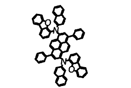 c1ccc(-c2cc(N(c3ccc4ccccc4c3)c3cccc4c3oc3ccccc34)c3ccc4c(-c5ccccc5)cc(N(c5ccc6ccccc6c5)c5cccc6c5oc5ccccc56)c5ccc2c3c45)cc1